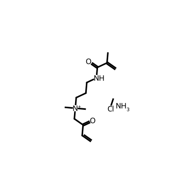 C=CC(=O)C[N+](C)(C)CCCNC(=O)C(=C)C.CCl.N